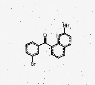 Nc1ccc2cccc(C(=O)c3cccc(Br)c3)c2n1